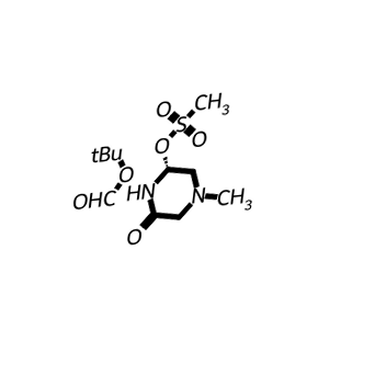 CC(C)(C)OC=O.CN1CC(=O)N[C@H](OS(C)(=O)=O)C1